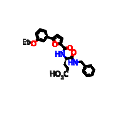 CCOc1cccc(-c2ccc(C(=O)N[C@@H](CCC(=O)O)C(=O)NCc3ccccc3)o2)c1